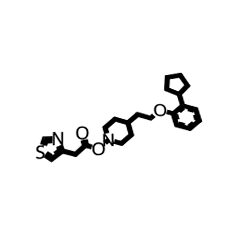 O=C(Cc1cscn1)ON1CCC(CCOc2ccccc2C2CCCC2)CC1